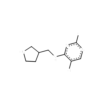 Clc1ncc(Cl)c(NCC2CCNC2)n1